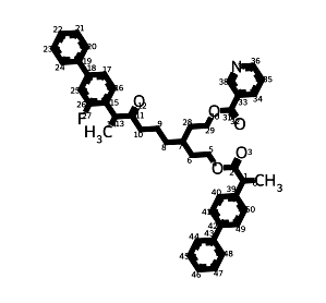 CC(C(=O)OCCC(CCCC(=O)C(C)c1ccc(-c2ccccc2)cc1F)CCOC(=O)c1cccnc1)c1ccc(-c2ccccc2)cc1